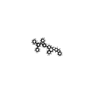 CC1C(C2C=C3C(CC2)SC2CCC=CC32)CC2=C(C=CCC2)C2C=C(C3=CC=C4C(C3)C3CCC=CC3N4C3C=C(C4CCCC=N4)C=C(C4=CCCCC4)C3)CCC21